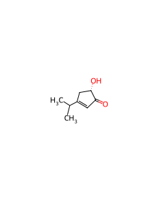 CC(C)C1=CC(=O)[C@@H](O)C1